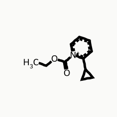 CCOC(=O)[n+]1ccccc1C1CC1